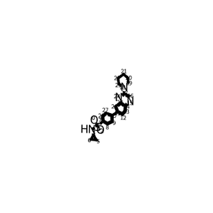 O=S(=O)(NC1CC1)c1ccc(-c2ccc3ncc(N4CCCCC4)nc3c2)cc1